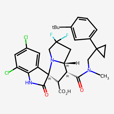 CN(CC1(c2cccc(C(C)(C)C)c2)CC1)C(=O)[C@@H]1C(C(=O)O)[C@@]2(C(=O)Nc3c(Cl)cc(Cl)cc32)N2CC(F)(F)C[C@H]12